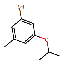 Cc1cc(S)cc(OC(C)C)c1